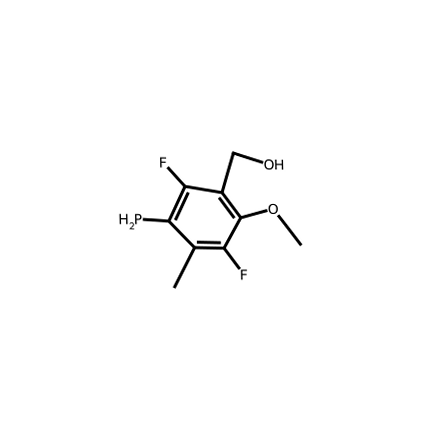 COc1c(F)c(C)c(P)c(F)c1CO